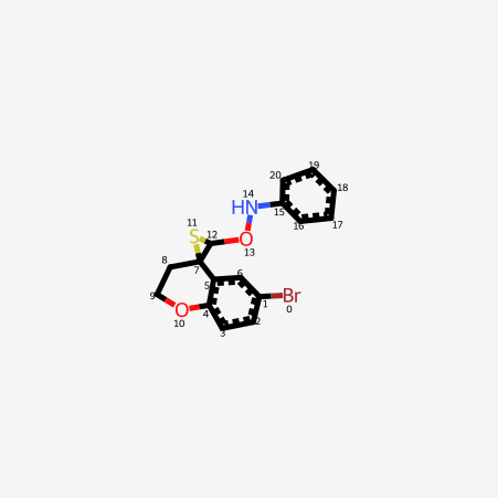 Brc1ccc2c(c1)C1(CCO2)SC1ONc1ccccc1